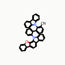 N#Cc1cccc(-c2ccccc2-n2c3ccccc3c3ccc4c5ccccc5oc4c32)c1-n1c2ccccc2c2ccccc21